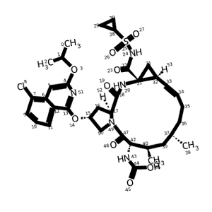 CC(C)Oc1cc2c(Cl)cccc2c(O[C@@H]2C[C@H]3C(=O)N[C@]4(C(=O)NS(=O)(=O)C5CC5)C[C@H]4/C=C\CC[C@H](C)C[C@@H](C)[C@H](NC(=O)O)C(=O)N3C2)n1